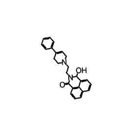 O=C1c2cccc3cccc(c23)C(O)N1CCN1CC=C(c2ccccc2)CC1